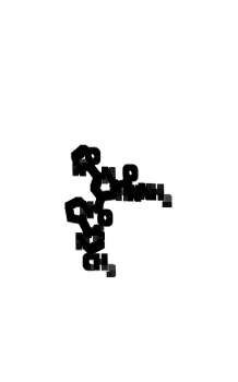 Cc1csc(C2CCCN2C(=O)c2cc(C(=O)NN)nc(-c3ncco3)c2)n1